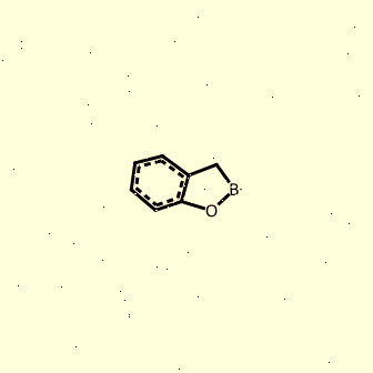 [B]1Cc2ccccc2O1